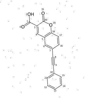 O=C(O)c1cc2cc(C#Cc3ccccc3)ccc2oc1=O